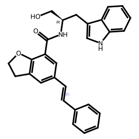 O=C(N[C@@H](CO)Cc1c[nH]c2ccccc12)c1cc(/C=C/c2ccccc2)cc2c1OCC2